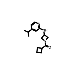 CC(C)c1ccnc(NC2CN(C(=O)C3CCC3)C2)c1